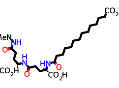 CNNC(=O)CC[C@H](NC(=O)CC[C@H](NC(=O)CCCCCCCCCCCCC(=O)O)C(=O)O)C(=O)O